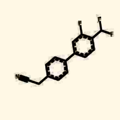 N#CCc1ccc(-c2ccc(C(F)F)c(F)c2)cc1